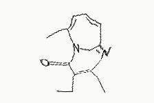 CCc1c(C)nc2cccc(C)n2c1=O